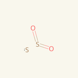 O=S=O.[S]